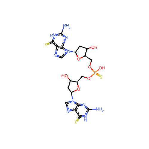 Nc1nc2c(ncn2[C@H]2CC(O)[C@@H](COP(O)(=S)OC[C@H]3O[C@@H](n4cnc5c(=S)[nH]c(N)nc54)CC3O)O2)c(=S)[nH]1